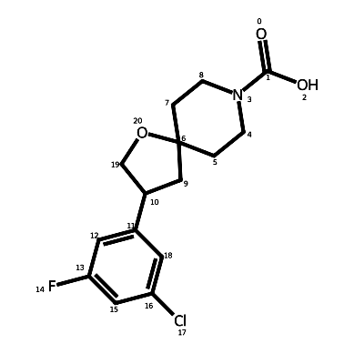 O=C(O)N1CCC2(CC1)CC(c1cc(F)cc(Cl)c1)CO2